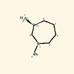 CC(C)N1CCCC[C@H](N)C1